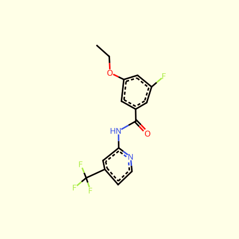 CCOc1cc(F)cc(C(=O)Nc2cc(C(F)(F)F)ccn2)c1